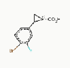 O=C(O)[C@H]1CC1c1ccc(Br)c(F)c1